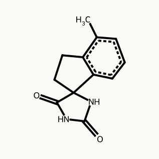 Cc1cccc2c1CCC21NC(=O)NC1=O